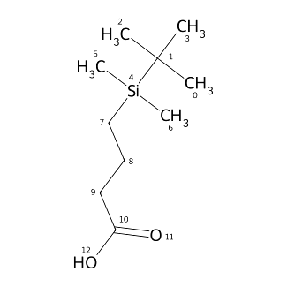 CC(C)(C)[Si](C)(C)CCCC(=O)O